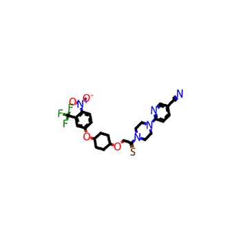 N#Cc1ccc(N2CCN(C(=S)COC3CCC(Oc4ccc([N+](=O)[O-])c(C(F)(F)F)c4)CC3)CC2)nc1